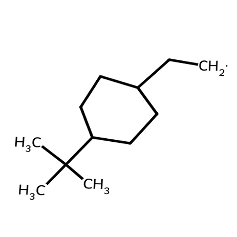 [CH2]CC1CCC(C(C)(C)C)CC1